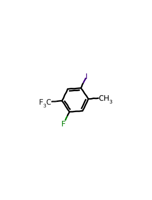 Cc1cc(F)c(C(F)(F)F)cc1I